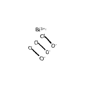 [Bi+3].[O-]Cl.[O-]Cl.[O-]Cl